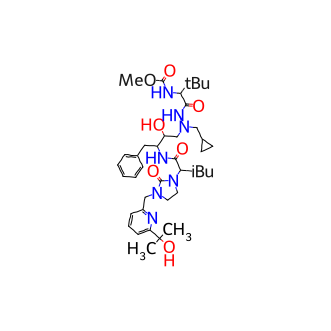 CCC(C)C(C(=O)NC(Cc1ccccc1)C(O)CN(CC1CC1)NC(=O)C(NC(=O)OC)C(C)(C)C)N1CCN(Cc2cccc(C(C)(C)O)n2)C1=O